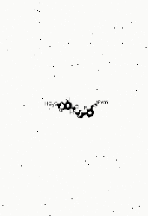 CCCCCOCc1cccc(-c2csc(NC(=O)c3cc(Cl)c(C=C(C)C(=O)O)c(Cl)c3)n2)c1F